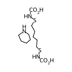 C1CCNCC1.O=C(O)NSCCCCCSNC(=O)O